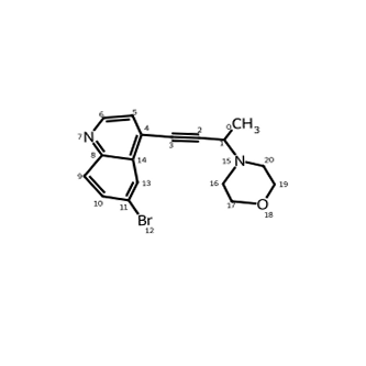 CC(C#Cc1ccnc2ccc(Br)cc12)N1CCOCC1